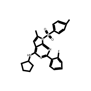 Cc1ccc(S(=O)(=O)n2c(C)cc3c(NC4CCCC4)nc(-c4ccccc4F)nc32)cc1